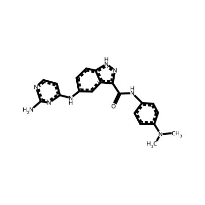 CN(C)c1ccc(NC(=O)c2n[nH]c3ccc(Nc4ccnc(N)n4)cc23)cc1